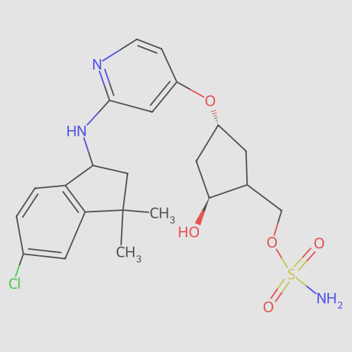 CC1(C)CC(Nc2cc(O[C@@H]3CC(COS(N)(=O)=O)[C@@H](O)C3)ccn2)c2ccc(Cl)cc21